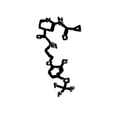 O=C(NCCOc1ccc(OC(F)(F)F)cc1Cl)C1C=C(NC(=O)C2CC2)N=CC1